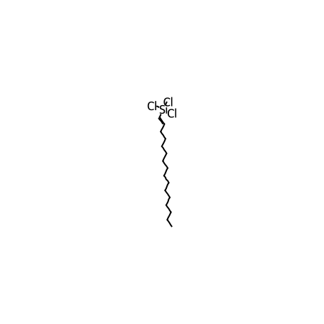 CCCCCCCCCCCCCCC=C[Si](Cl)(Cl)Cl